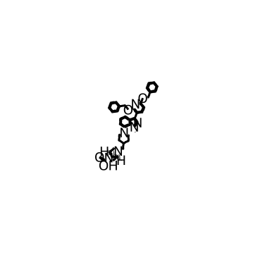 Cn1nc(-c2ccc(OCc3ccccc3)nc2OCc2ccccc2)c2cccc(N3CCC(CN4C[C@H]5C[C@@H]4CN5C(=O)O)CC3)c21